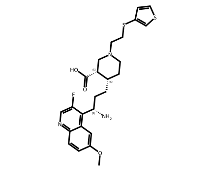 COc1ccc2ncc(F)c([C@@H](N)CC[C@H]3CCN(CCSc4ccsc4)C[C@H]3C(=O)O)c2c1